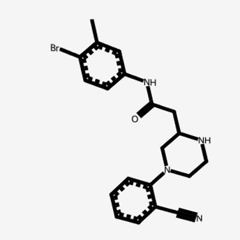 Cc1cc(NC(=O)CC2CN(c3ccccc3C#N)CCN2)ccc1Br